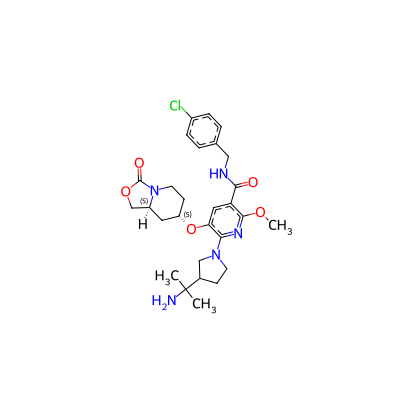 COc1nc(N2CCC(C(C)(C)N)C2)c(O[C@H]2CCN3C(=O)OC[C@@H]3C2)cc1C(=O)NCc1ccc(Cl)cc1